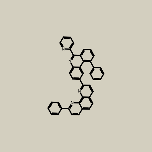 c1ccc(-c2ccc3ccc4ccc(-c5ccc6nc(-c7ccccn7)c7cccc(-c8ccccc8)c7c6c5)nc4c3n2)cc1